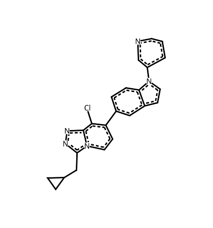 Clc1c(-c2ccc3c(ccn3-c3cccnc3)c2)ccn2c(CC3CC3)nnc12